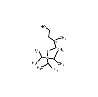 CC(C)[Si](OC[C@H](C)CCO)(C(C)C)C(C)C